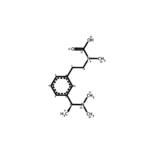 C[C@@H](c1cccc(CCN(C)C(=O)O)c1)N(C)C